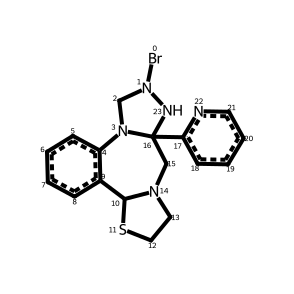 BrN1CN2c3ccccc3C3SCCN3CC2(c2ccccn2)N1